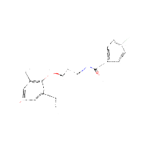 CCc1cc(O)cc(C)c1OCCCNC(=O)c1ccc(Cl)cc1